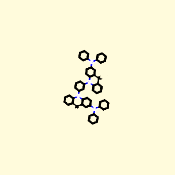 CC1(C)c2ccccc2N(c2cccc(N3c4ccccc4C(C)(C)c4cc(N(c5ccccc5)c5ccccc5)ccc43)c2)c2ccc(N(c3ccccc3)c3ccccc3)cc21